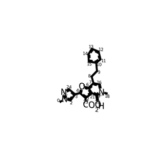 Cn1cc(-c2oc3c(CCc4ccccc4)cn(C)c(=O)c3c2C(=O)O)cn1